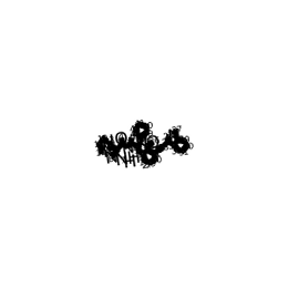 CC(NC(=O)c1c(N)nn2cccnc12)c1cc2cccc(C#Cc3cn(C)c4ccccc34)c2c(=O)n1-c1ccccc1